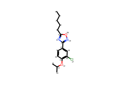 CCCCCc1nc(-c2ccc(OC(C)C)c(Cl)c2)no1